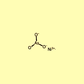 [Ni+3].[O-][As]([O-])[O-]